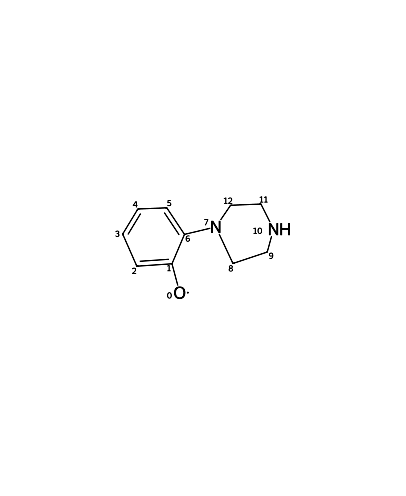 [O]c1ccccc1N1CCNCC1